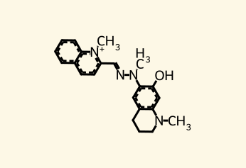 CN1CCCc2cc(N(C)/N=C/c3ccc4ccccc4[n+]3C)c(O)cc21